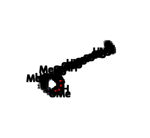 CO[C@H]1C[C@@H]2CC[C@@H](C)[C@@](O)(O2)C(=O)C(=O)N2CCCC[C@H]2C(=O)O[C@H]([C@H](C)C[C@@H]2CC[C@@H](OC(=O)CCC(=O)NCCSSCCNC(=O)OCCOCCOCCOCCOCCOCC(=O)NCCC(=O)N3Cc4ccccc4C#Cc4ccccc43)[C@H](OC)C2)CC(=O)[C@H](C)/C=C(\C)[C@@H](O)[C@@H](OC)C(=O)[C@H](C)C[C@H](C)/C=C/C=C/C=C/1C